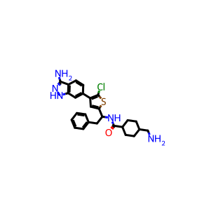 NCC1CCC(C(=O)NC(Cc2ccccc2)c2cc(-c3ccc4c(N)n[nH]c4c3)c(Cl)s2)CC1